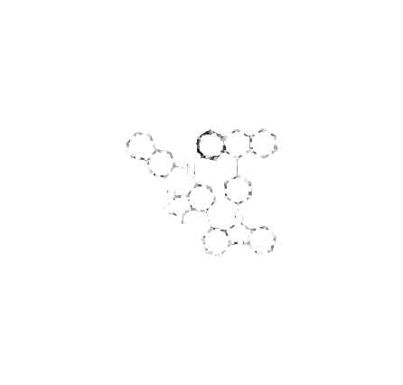 c1ccc(N(c2ccc3ccccc3c2)c2ccc(-c3cccc4c5ccccc5n(-c5ccc(-c6c7ccccc7cc7ccccc67)cc5)c34)c3nsnc23)cc1